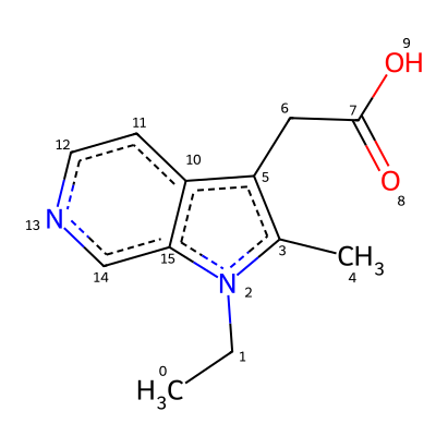 CCn1c(C)c(CC(=O)O)c2ccncc21